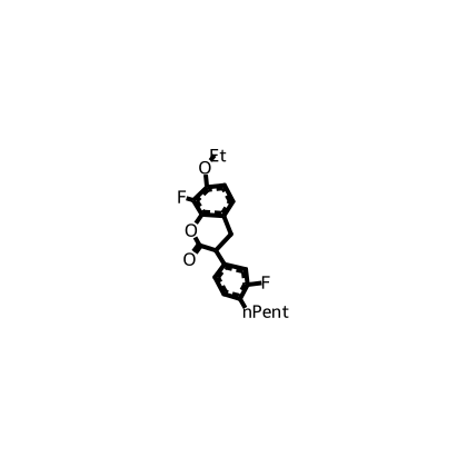 CCCCCc1ccc(C2Cc3ccc(OCC)c(F)c3OC2=O)cc1F